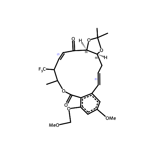 COCOc1cc(OC)cc2c1C(=O)OC(C)C(C(F)(F)F)/C=C\C(=O)[C@H]1OC(C)(C)O[C@H]1C/C=C/2